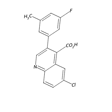 Cc1cc(F)cc(-c2cnc3ccc(Cl)cc3c2C(=O)O)c1